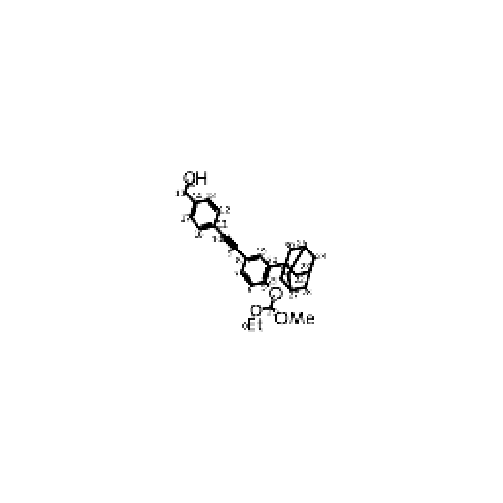 CCOC(OC)Oc1ccc(C#Cc2ccc(CO)cc2)cc1C12CC3CC(CC(C3)C1)C2